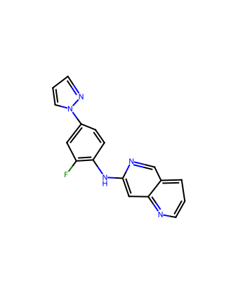 Fc1cc(-n2cccn2)ccc1Nc1cc2ncccc2cn1